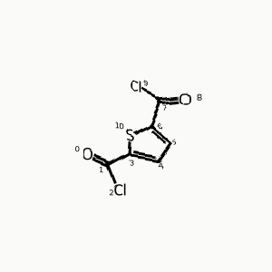 O=C(Cl)c1ccc(C(=O)Cl)s1